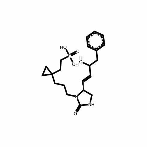 O=C1NC[C@H](/C=C/C(O)Cc2ccccc2)N1CCCC1(CCP(=O)(O)O)CC1